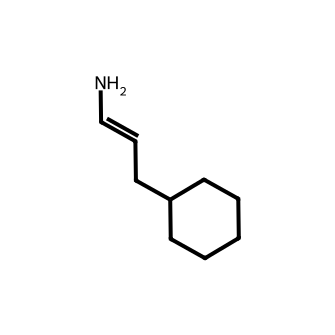 NC=CCC1CCCCC1